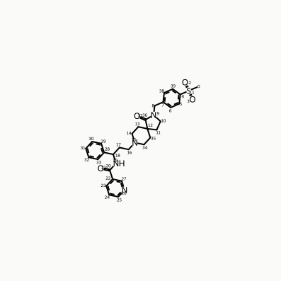 CS(=O)(=O)c1ccc(CN2CCC3(CCN(CCC(NC(=O)c4cccnc4)c4ccccc4)CC3)C2=O)cc1